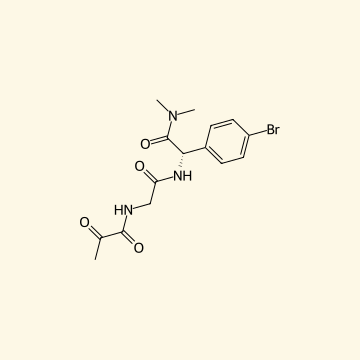 CC(=O)C(=O)NCC(=O)N[C@H](C(=O)N(C)C)c1ccc(Br)cc1